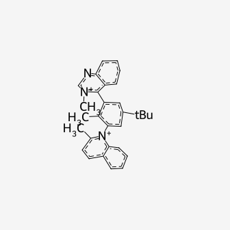 Cc1c(-c2c3ccccc3nc[n+]2C)cc(C(C)(C)C)cc1-[n+]1c(C)ccc2ccccc21